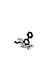 C=CCNC1(O)CC(c2ccccc2)=CC=C1O.CCOCC